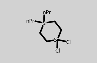 CCC[Si]1(CCC)CC[Si](Cl)(Cl)CC1